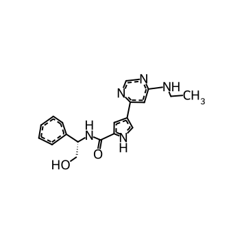 CCNc1cc(-c2c[nH]c(C(=O)N[C@H](CO)c3ccccc3)c2)ncn1